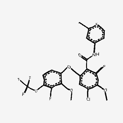 COc1c(Cl)cc(Oc2ccc(OC(F)(F)F)c(F)c2OC)c(C(=O)Nc2ccnc(C)c2)c1F